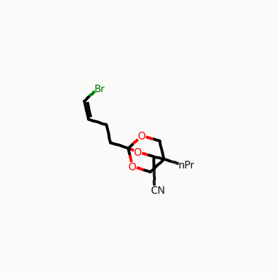 CCCC12COC(CC/C=C\Br)(OC1)OC2C#N